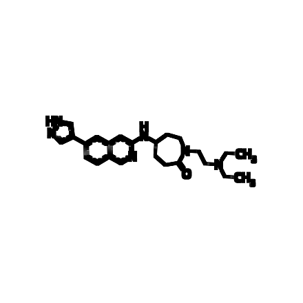 CCN(CC)CCN1CCC(Nc2cc3cc(-c4cn[nH]c4)ccc3cn2)CCC1=O